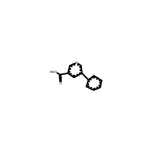 COC(=O)c1cncc(-c2ccccc2)c1